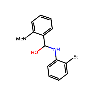 CCc1ccccc1NC(O)c1ccccc1NC